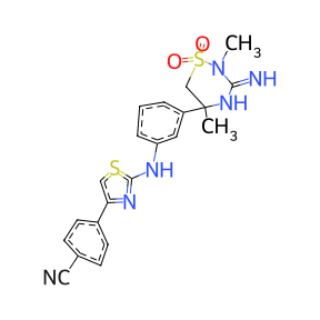 CN1C(=N)NC(C)(c2cccc(Nc3nc(-c4ccc(C#N)cc4)cs3)c2)CS1(=O)=O